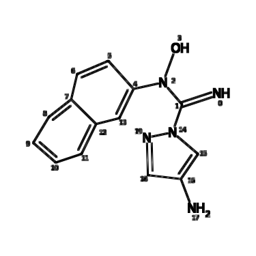 N=C(N(O)c1ccc2ccccc2c1)n1cc(N)cn1